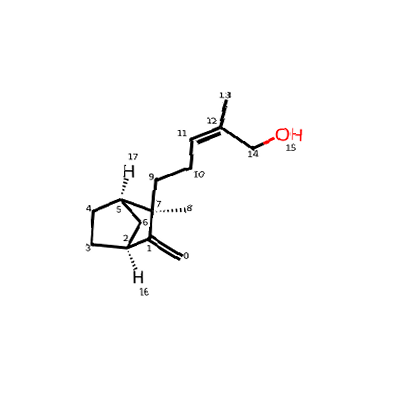 C=C1[C@H]2CC[C@H](C2)[C@@]1(C)CC/C=C(/C)CO